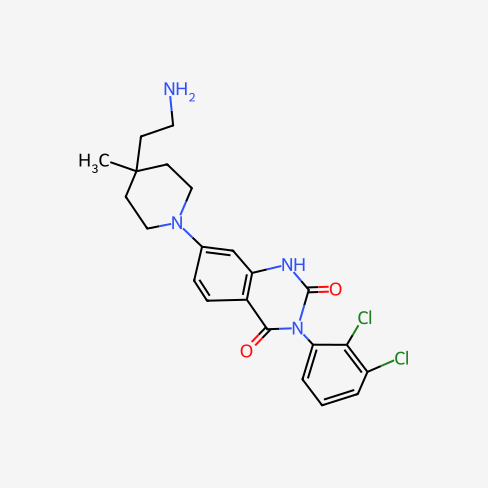 CC1(CCN)CCN(c2ccc3c(=O)n(-c4cccc(Cl)c4Cl)c(=O)[nH]c3c2)CC1